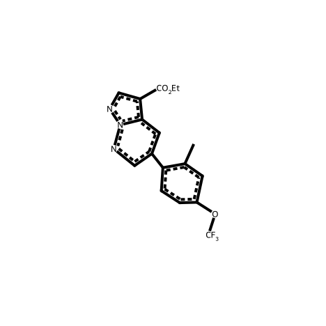 CCOC(=O)c1cnn2ncc(-c3ccc(OC(F)(F)F)cc3C)cc12